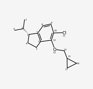 CC(C)[C@H]1CCc2c1ccc(Cl)c2OCC1CC1